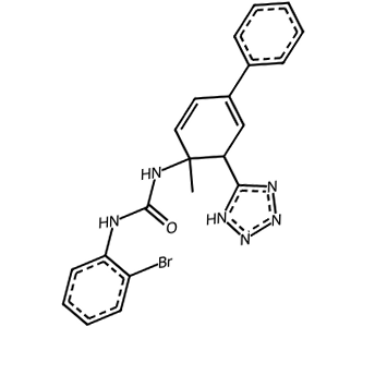 CC1(NC(=O)Nc2ccccc2Br)C=CC(c2ccccc2)=CC1c1nnn[nH]1